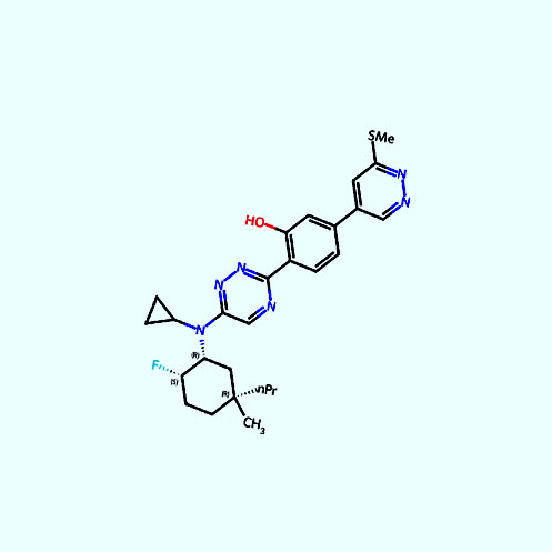 CCC[C@]1(C)CC[C@H](F)[C@H](N(c2cnc(-c3ccc(-c4cnnc(SC)c4)cc3O)nn2)C2CC2)C1